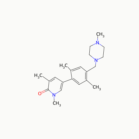 Cc1cc(-c2cc(C)c(=O)n(C)c2)c(C)cc1CN1CCN(C)CC1